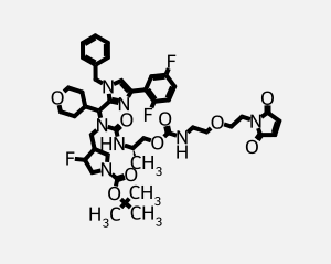 C[C@@H](COC(=O)NCCOCCN1C(=O)C=CC1=O)NC(=O)N(CC1CN(C(=O)OC(C)(C)C)CC1F)C(c1nc(-c2cc(F)ccc2F)cn1Cc1ccccc1)C1CCOCC1